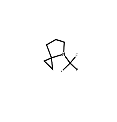 FC(F)(F)N1CCCC12CC2